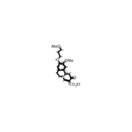 CCOC(=O)C1=CN2CCc3cc(OCCCOC)c(OC)cc3C2CC1=O